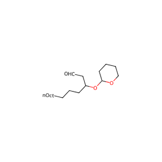 CCCCCCCCCCCC(CC=O)OC1CCCCO1